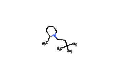 CC1CCCCN1CCC(C)(C)C